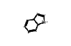 C1=CC2C=CNC2C=C1